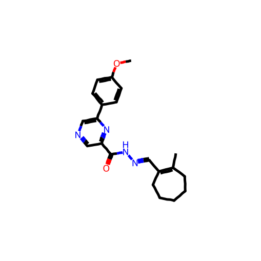 COc1ccc(-c2cncc(C(=O)N/N=C/C3=C(C)CCCCC3)n2)cc1